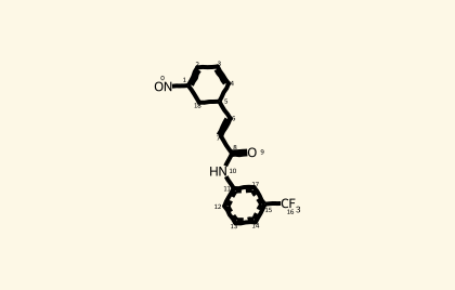 O=NC1=CC=CC(/C=C/C(=O)Nc2cccc(C(F)(F)F)c2)C1